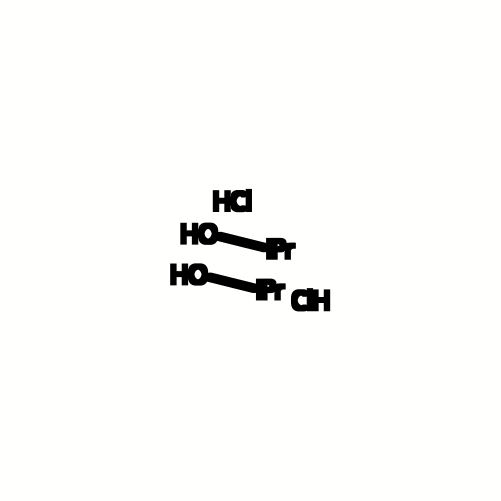 CC(C)O.CC(C)O.Cl.Cl